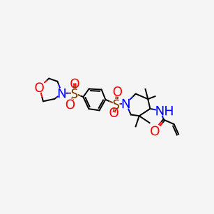 C=CC(=O)NC1C(C)(C)CN(S(=O)(=O)c2ccc(S(=O)(=O)N3CCOCC3)cc2)CC1(C)C